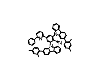 Cc1ccc(-c2ccc3c4ccccc4n(-c4cc(-c5cccc(-c6ccccc6)n5)cc(-n5c6ccccc6c6ccc(-c7ccc(C)cc7C)cc65)c4C#N)c3c2)c(C)c1